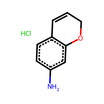 Cl.Nc1ccc2c(c1)OCC=C2